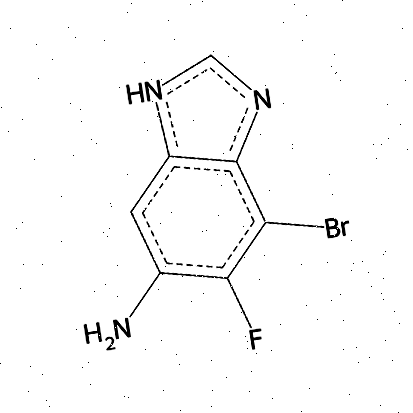 Nc1cc2[nH]cnc2c(Br)c1F